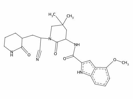 COc1cccc2[nH]c(C(=O)NC3CC(C)(C)CN(C(C#N)CC4CCCNC4=O)C3=O)cc12